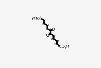 CCCCCCCCCCCCCC(=O)C(=O)C=CC=CC(=O)O